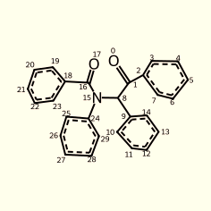 O=C(c1ccccc1)C(c1ccccc1)N(C(=O)c1ccccc1)c1ccccc1